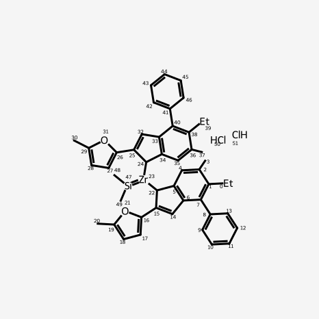 CCc1c(C)cc2c(c1-c1ccccc1)C=C(c1ccc(C)o1)[CH]2[Zr]([CH]1C(c2ccc(C)o2)=Cc2c1cc(C)c(CC)c2-c1ccccc1)=[Si](C)C.Cl.Cl